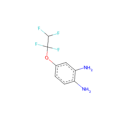 Nc1ccc(OC(F)(F)C(F)F)cc1N